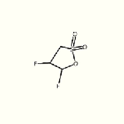 O=S1(=O)CC(F)C(F)O1